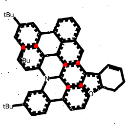 CC(C)(C)c1cc(-c2cccc3cccc(-c4ccccc4N(c4ccc5c6c(oc5c4)CCC=C6)c4cc(C(C)(C)C)ccc4-c4ccccc4)c23)cc(C(C)(C)C)c1